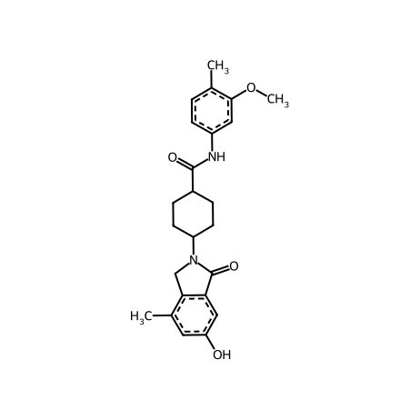 COc1cc(NC(=O)C2CCC(N3Cc4c(C)cc(O)cc4C3=O)CC2)ccc1C